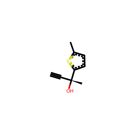 C#C[C@@](C)(O)c1ccc(C)s1